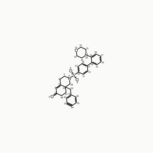 O=C1C=C2CCN(S(=O)(=O)c3ccc(-c4ccccc4N4CCOCC4)cc3)CC2(Cc2cc#ccc2)CC1